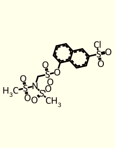 CS(=O)(=O)N(CS(=O)(=O)Oc1cccc2cc(S(=O)(=O)Cl)ccc12)S(C)(=O)=O